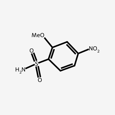 COc1cc([N+](=O)[O-])ccc1S(N)(=O)=O